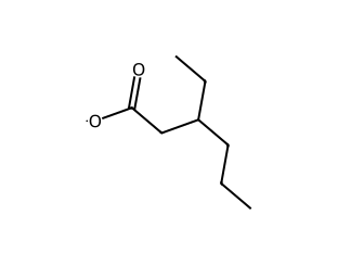 CCCC(CC)CC([O])=O